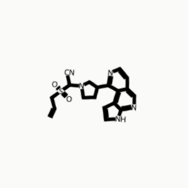 C=CCS(=O)(=O)C(C#N)N1CCC(c2nccc3cnc4[nH]ccc4c23)C1